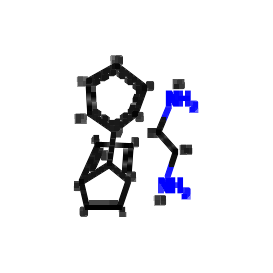 C1=CC2=CC=C1C2c1ccccc1.NCCN